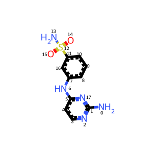 Nc1nccc(Nc2cccc(S(N)(=O)=O)c2)n1